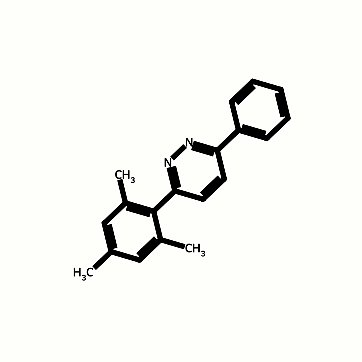 Cc1cc(C)c(-c2ccc(-c3ccccc3)nn2)c(C)c1